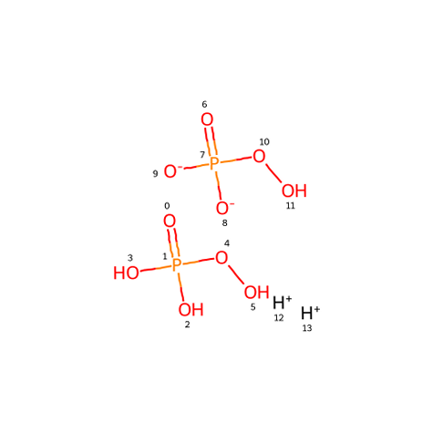 O=P(O)(O)OO.O=P([O-])([O-])OO.[H+].[H+]